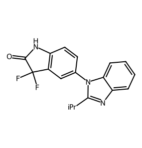 CC(C)c1nc2ccccc2n1-c1ccc2c(c1)C(F)(F)C(=O)N2